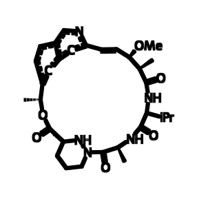 CO[C@@H]1/C=C/c2cc3cc(ccc3cn2)[C@@H](C)OC(=O)[C@]2(C)CCCN(N2)C(=O)[C@H](C)NC(=O)C(C(C)C)NC(=O)[C@@H]1C